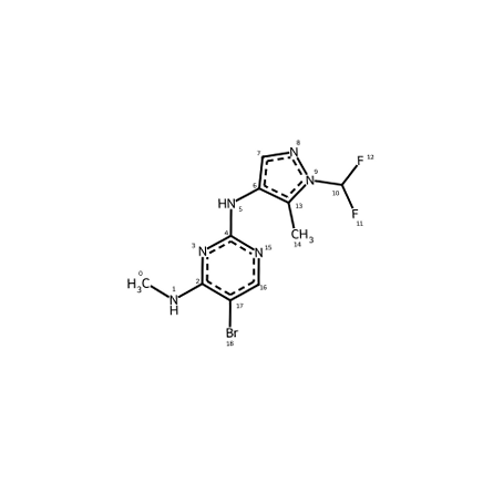 CNc1nc(Nc2cnn(C(F)F)c2C)ncc1Br